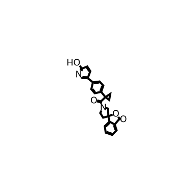 O=C1OC2(CCN(C(=O)C3(c4ccc(-c5ccc(O)nc5)cc4)CC3)C2)c2ccccc21